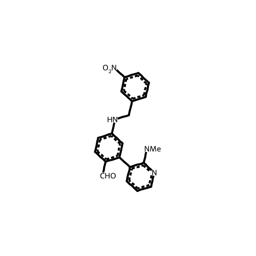 CNc1ncccc1-c1cc(NCc2cccc([N+](=O)[O-])c2)ccc1C=O